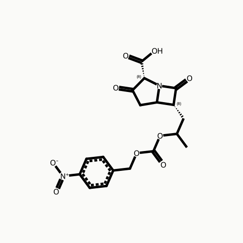 CC(C[C@H]1C(=O)N2C1CC(=O)[C@@H]2C(=O)O)OC(=O)OCc1ccc([N+](=O)[O-])cc1